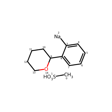 CS(=O)(=O)O.[Na][c]1ccccc1C1CCCCO1